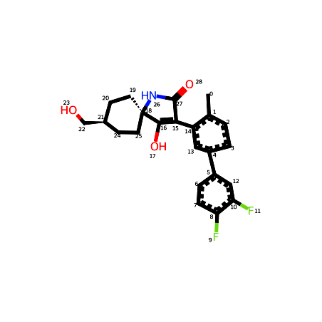 Cc1ccc(-c2ccc(F)c(F)c2)cc1C1=C(O)[C@]2(CC[C@H](CO)CC2)NC1=O